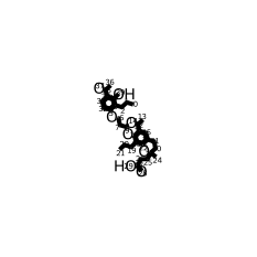 CCCc1c(OCCCOc2c(C(C)=O)cc3c(c2CCC)OC(C)(CCC(=O)O)CC3)ccc(C(C)=O)c1O